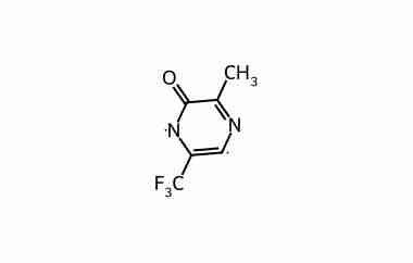 CC1=N[C]=C(C(F)(F)F)[N]C1=O